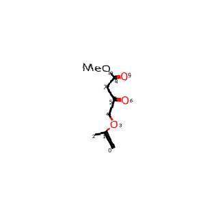 C=C(C)OCC(=O)CC(=O)OC